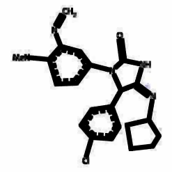 C=Nc1cc(N2C(=O)N/C(=N/C3CCCC3)C2c2ccc(Cl)cc2)ccc1NC